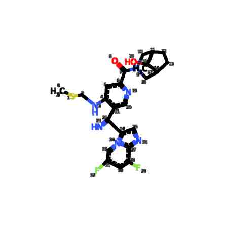 CSCNc1cc(C(=O)N2CC3CCC(C2)C3(C)O)ncc1C(=N)c1cnc2c(F)cc(F)cn12